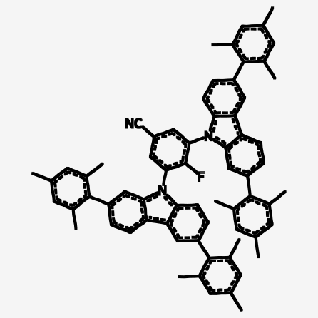 Cc1cc(C)c(-c2ccc3c(c2)c2ccc(-c4c(C)cc(C)cc4C)cc2n3-c2cc(C#N)cc(-n3c4ccc(-c5c(C)cc(C)cc5C)cc4c4ccc(-c5c(C)cc(C)cc5C)cc43)c2F)c(C)c1